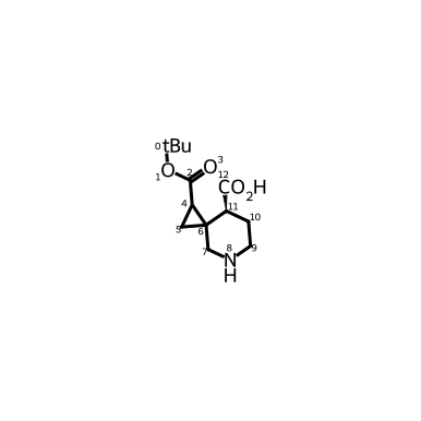 CC(C)(C)OC(=O)C1CC12CNCC[C@@H]2C(=O)O